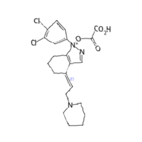 O=C(O)C(=O)O[N+]1(c2ccc(Cl)c(Cl)c2)N=CC2=C1CCC/C2=C\CN1CCCCC1